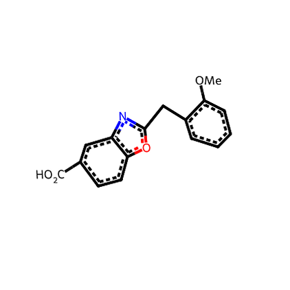 COc1ccccc1Cc1nc2cc(C(=O)O)ccc2o1